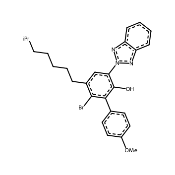 COc1ccc(-c2c(O)c(-n3nc4ccccc4n3)cc(CCCCCC(C)C)c2Br)cc1